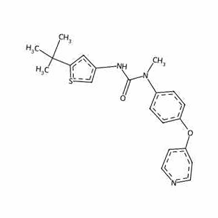 CN(C(=O)Nc1csc(C(C)(C)C)c1)c1ccc(Oc2ccncc2)cc1